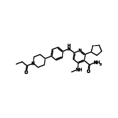 CCC(=O)N1CCC(c2ccc(Nc3cc(NC)c(C(N)=O)c(C4CCCC4)n3)cc2)CC1